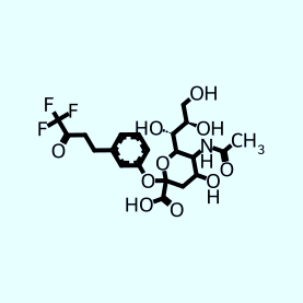 CC(=O)NC1C(O)CC(Oc2cccc(CCC(=O)C(F)(F)F)c2)(C(=O)O)OC1[C@H](O)[C@H](O)CO